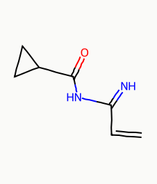 C=CC(=N)NC(=O)C1CC1